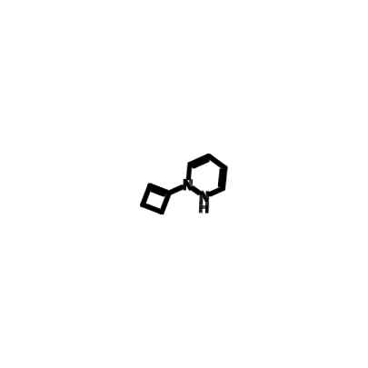 C1=CNN(C2=CCC2)C=C1